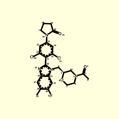 CC(=O)N1CCO[C@@H](Cn2c(-c3c(Cl)cc(N4CCCC4=O)cc3Cl)nc3cc(C)c(F)cc32)C1